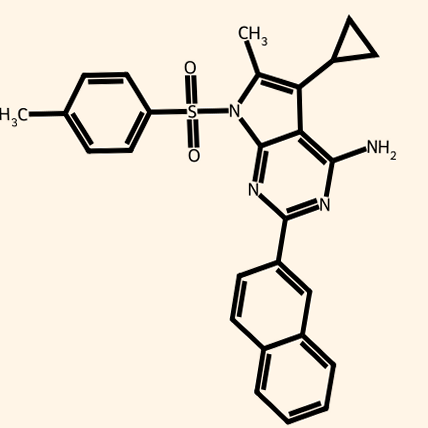 Cc1ccc(S(=O)(=O)n2c(C)c(C3CC3)c3c(N)nc(-c4ccc5ccccc5c4)nc32)cc1